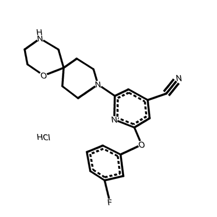 Cl.N#Cc1cc(Oc2cccc(F)c2)nc(N2CCC3(CC2)CNCCO3)c1